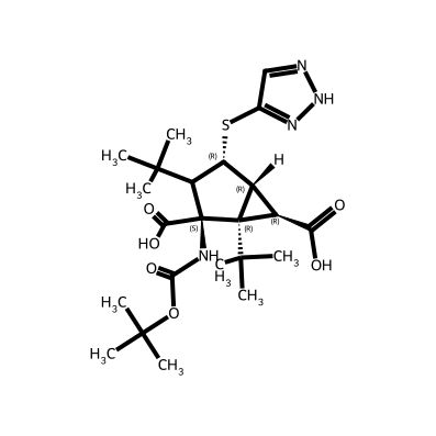 CC(C)(C)OC(=O)N[C@@]1(C(=O)O)C(C(C)(C)C)[C@H](Sc2cn[nH]n2)[C@@H]2[C@@H](C(=O)O)[C@]21C(C)(C)C